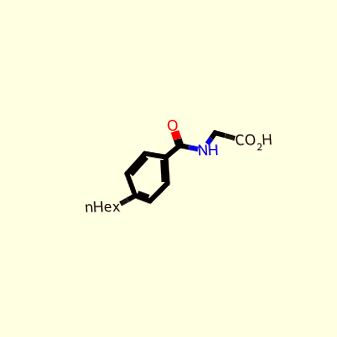 CCCCCCc1ccc(C(=O)NCC(=O)O)cc1